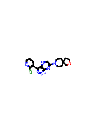 Clc1ncccc1-c1n[nH]c2nc(N3CCC4(CCOC4)CC3)cnc12